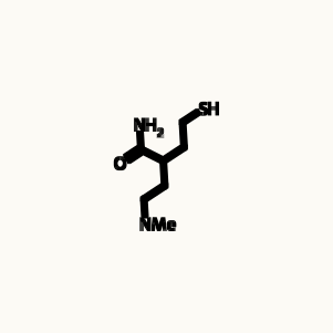 CNCCC(CCS)C(N)=O